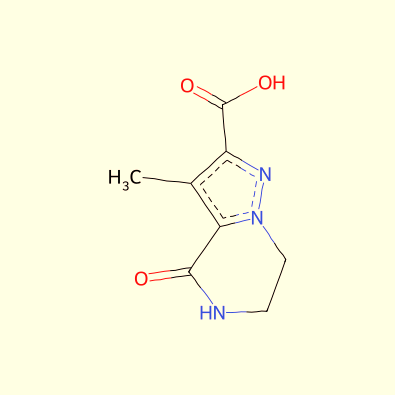 Cc1c(C(=O)O)nn2c1C(=O)NCC2